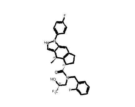 C[C@H]1C2=CNN(c3ccc(F)cc3)C2=CC2=C1[C@@H](C(=O)N(Cc1ccccc1F)C[C@@H](O)C(F)(F)F)CC2